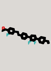 C=Cc1ccc(-c2ccc(-c3ccc(CCc4ccc(C5CO5)c(F)c4)cc3)c(F)c2F)cc1